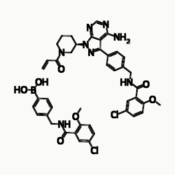 C=CC(=O)N1CCC[C@@H](n2nc(-c3ccc(CNC(=O)c4cc(Cl)ccc4OC)cc3)c3c(N)ncnc32)C1.COc1ccc(Cl)cc1C(=O)NCc1ccc(B(O)O)cc1